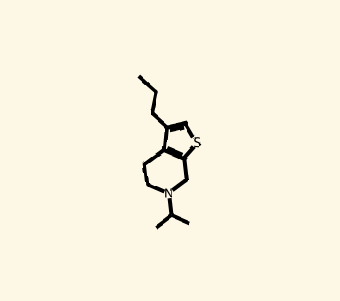 CCCc1csc2c1CCN(C(C)C)C2